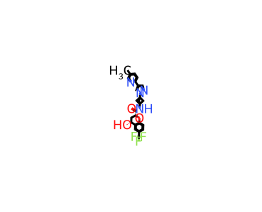 Cc1ccc(-c2cnn(C34CC(NC(=O)[C@H]5C[C@@H](O)c6cc(C(F)(F)F)ccc6O5)(C3)C4)c2)nc1